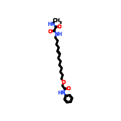 CNC(=O)C(=O)NCCCCC=CCCCCCCCOCC(=O)Nc1ccccc1